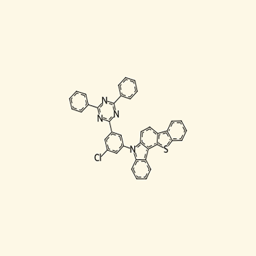 Clc1cc(-c2nc(-c3ccccc3)nc(-c3ccccc3)n2)cc(-n2c3ccccc3c3c4sc5ccccc5c4ccc32)c1